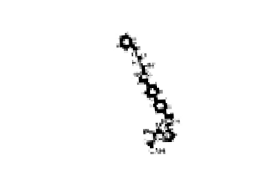 COC(=O)N[C@H](C(=O)N1CCC[C@H]1c1nc(-c2ccc(-c3ccc(-c4c[nH]c([C@@H](NC(=O)OCc5ccccc5)C(C)C)n4)cc3)cc2)c[nH]1)C(C)C